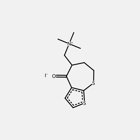 C[N+](C)(C)CC1CCSc2sccc2C1=O.[I-]